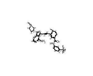 Cc1ccc(C(=O)Nc2cccc(C(C)(F)F)c2)cc1C#Cc1nn([C@@H]2CCN(C)C2)c2ncnc(N)c12